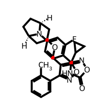 Cc1ccccc1-c1noc(C2CC2)c1CO[C@H]1C[C@H]2CC[C@@H](C1)N2c1ccc(-c2noc(=O)[nH]2)c(F)c1